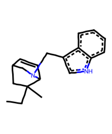 CCC1(C)CC2C=CC1N(Cc1c[nH]c3ccccc13)C2